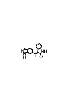 C/C(=C1\C(=O)Nc2ccccc21)c1ccc2cn[nH]c2c1